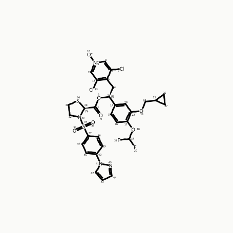 O=C(O[C@@H](Cc1c(Cl)c[n+]([O-])cc1Cl)c1ccc(OC(F)F)c(OCC2CC2)c1)[C@@H]1SCCN1S(=O)(=O)c1ccc(-n2cccn2)cc1